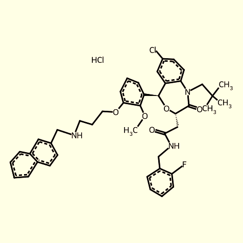 COc1c(OCCCNCc2ccc3ccccc3c2)cccc1[C@@H]1O[C@@H](CC(=O)NCc2ccccc2F)C(=O)N(CC(C)(C)C)c2ccc(Cl)cc21.Cl